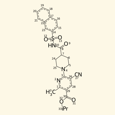 Cc1nc(N2CCC(C(=O)NS(=O)(=O)c3ccc4ccccc4c3)CC2)c(C#N)cc1C(=O)OC(C)C